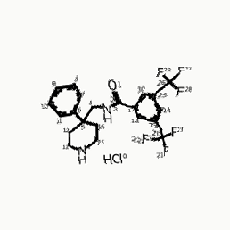 Cl.O=C(NCC1(c2ccccc2)CCNCC1)c1cc(C(F)(F)F)cc(C(F)(F)F)c1